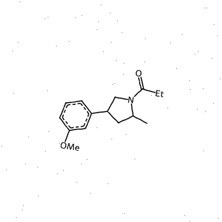 CCC(=O)N1CC(c2cccc(OC)c2)CC1C